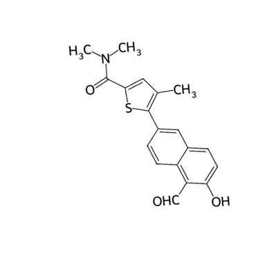 Cc1cc(C(=O)N(C)C)sc1-c1ccc2c(C=O)c(O)ccc2c1